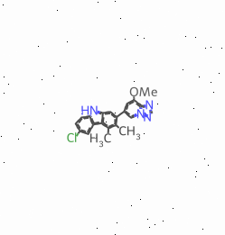 COc1cc(-c2cc3[nH]c4ccc(Cl)cc4c3c(C)c2C)cn2ncnc12